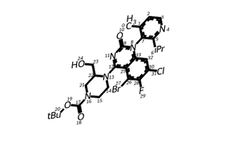 Cc1ccnc(C(C)C)c1-n1c(=O)nc(N2CCN(C(=O)OC(C)(C)C)CC2CO)c2c(Br)c(F)c(Cl)cc21